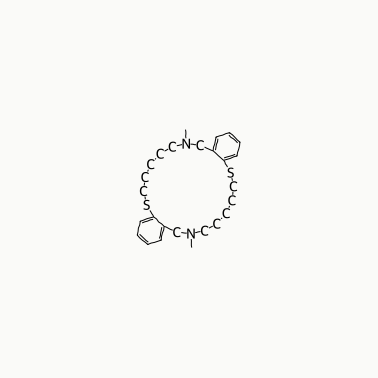 CN1CCCCCSc2ccccc2CN(C)CCCCCSc2ccccc2C1